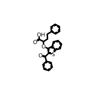 O=C(c1ccccc1)c1sc2ccccc2c1OC(CCc1ccccc1)C(=O)O